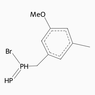 COc1cc(C)cc(C[PH](=P)Br)c1